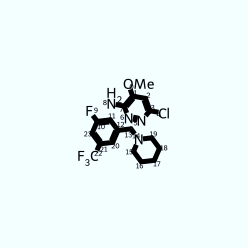 COc1cc(Cl)nnc1N.Fc1cc(CN2CCCCC2)cc(C(F)(F)F)c1